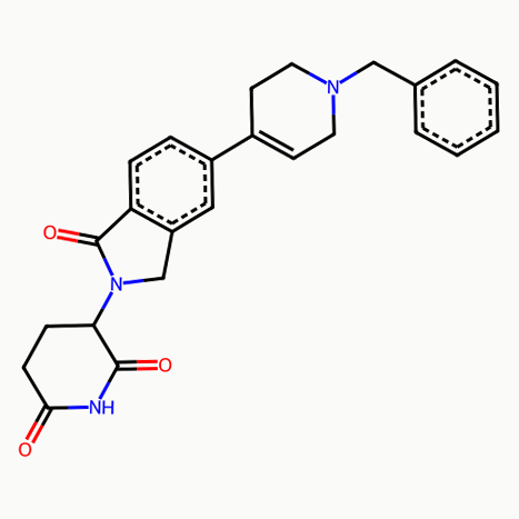 O=C1CCC(N2Cc3cc(C4=CCN(Cc5ccccc5)CC4)ccc3C2=O)C(=O)N1